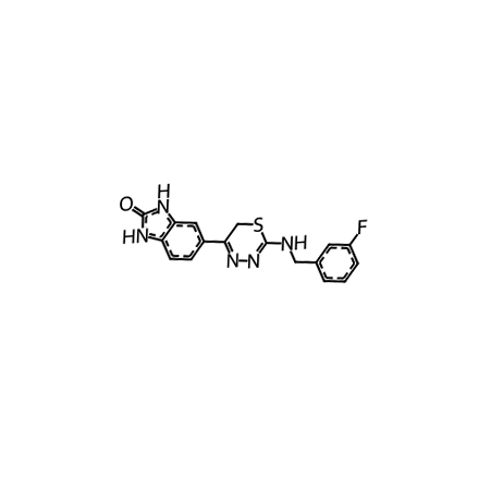 O=c1[nH]c2ccc(C3=NN=C(NCc4cccc(F)c4)SC3)cc2[nH]1